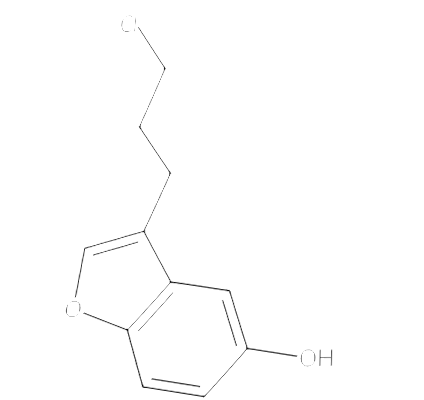 Oc1ccc2occ(CCCCl)c2c1